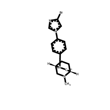 CN1C[C@@H]2CC[C@H]1CN2c1ccc(-n2cnc(Br)c2)cc1